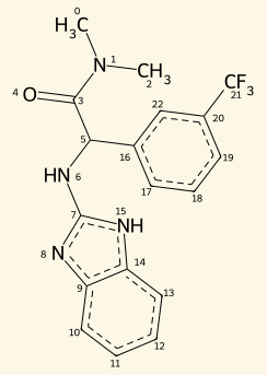 CN(C)C(=O)C(Nc1nc2ccccc2[nH]1)c1cccc(C(F)(F)F)c1